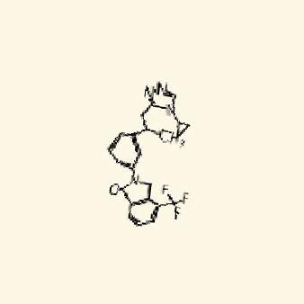 CC(Cc1nncn1C1CC1)c1cccc(N2Cc3c(cccc3C(F)(F)F)C2=O)c1